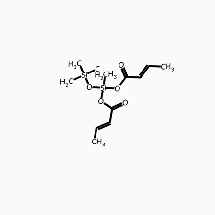 CC=CC(=O)O[Si](C)(OC(=O)C=CC)O[Si](C)(C)C